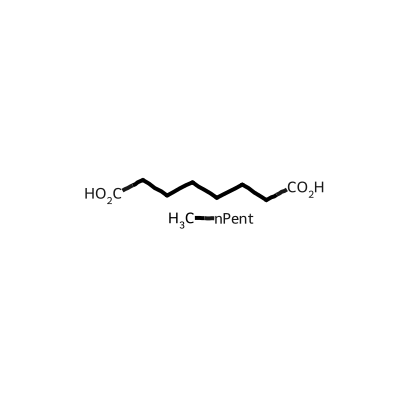 CCCCCC.O=C(O)CCCCCCC(=O)O